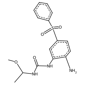 COC(C)NC(=O)Nc1cc(S(=O)(=O)c2ccccc2)ccc1N